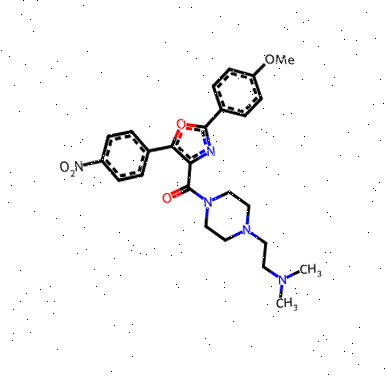 COc1ccc(-c2nc(C(=O)N3CCN(CCN(C)C)CC3)c(-c3ccc([N+](=O)[O-])cc3)o2)cc1